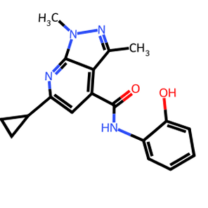 Cc1nn(C)c2nc(C3CC3)cc(C(=O)Nc3ccccc3O)c12